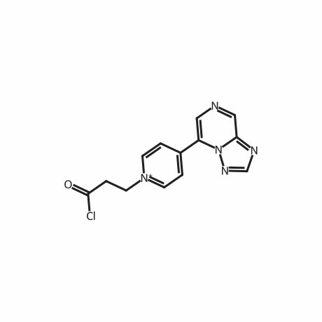 O=C(Cl)CC[n+]1ccc(-c2cncc3ncnn23)cc1